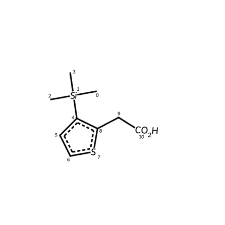 C[Si](C)(C)c1ccsc1CC(=O)O